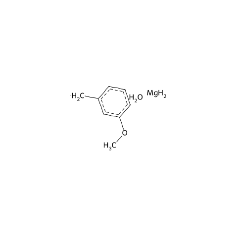 O.[CH2]c1cccc(OC)c1.[MgH2]